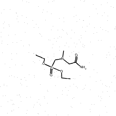 CCOP(=O)(CN(C)CC(N)=O)OCC